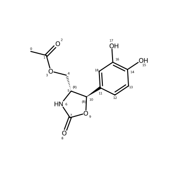 CC(=O)OC[C@H]1NC(=O)O[C@@H]1c1ccc(O)c(O)c1